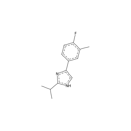 Cc1cc(-c2c[nH]c(C(C)C)n2)ccc1F